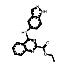 CCOC(=O)c1nc(Nc2ccc3[nH]ncc3c2)c2ccccc2n1